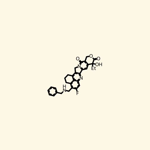 CCC1(O)C(=O)OCc2c1cc1n(c2=O)Cc2c-1nc1cc(F)c(CNCc3ccccc3)c3c1c2CCC3